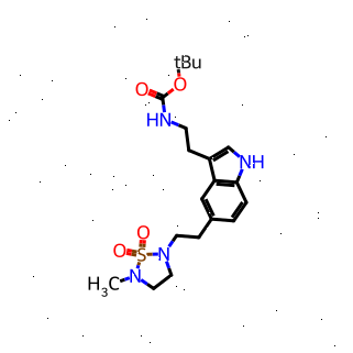 CN1CCN(CCc2ccc3[nH]cc(CCNC(=O)OC(C)(C)C)c3c2)S1(=O)=O